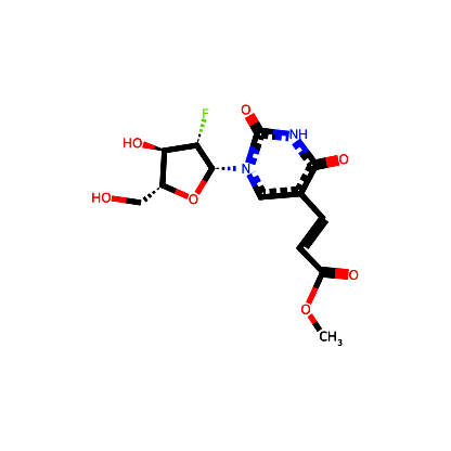 COC(=O)/C=C/c1cn([C@@H]2O[C@H](CO)[C@@H](O)[C@@H]2F)c(=O)[nH]c1=O